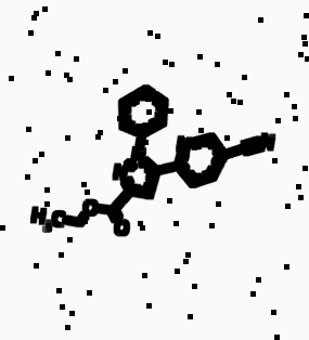 CCOC(=O)c1cc(-c2ccc(C#N)cn2)n(-c2ccccc2)n1